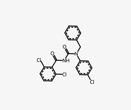 O=C(NC(=O)N(Cc1ccccc1)c1ccc(Cl)cc1)c1c(Cl)cccc1Cl